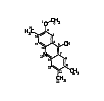 COc1cc2c(Cl)c3cc(C)c(C)cc3nc2cc1C